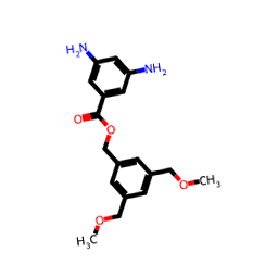 COCc1cc(COC)cc(COC(=O)c2cc(N)cc(N)c2)c1